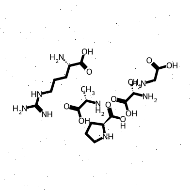 C[C@H](N)C(=O)O.C[C@H](N)C(=O)O.N=C(N)NCCC[C@H](N)C(=O)O.NCC(=O)O.O=C(O)[C@@H]1CCCN1